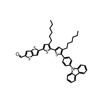 CCCCCCc1cc(-c2sc(-c3cc4sc(C=O)cc4s3)cc2CCCCCC)sc1-c1ccc(-n2c3ccccc3c3ccccc32)cc1